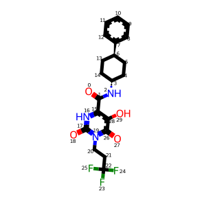 O=C(N[C@H]1CC[C@H](c2ccccc2)CC1)c1[nH]c(=O)n(CCC(F)(F)F)c(=O)c1O